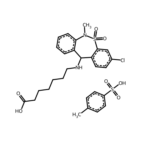 CN1c2ccccc2C(NCCCCCCC(=O)O)c2ccc(Cl)cc2S1(=O)=O.Cc1ccc(S(=O)(=O)O)cc1